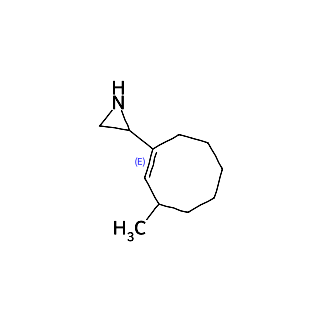 CC1/C=C(/C2CN2)CCCCC1